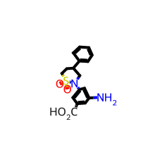 Nc1cc(C(=O)O)cc(N2CC(c3ccccc3)CCS2(=O)=O)c1